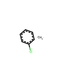 Clc1ccccc1.[CH3]